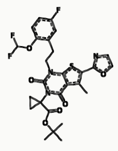 Cc1c(-c2ncco2)sc2c1c(=O)n(C1(C(=O)OC(C)(C)C)CC1)c(=O)n2CCc1cc(F)ccc1OC(F)F